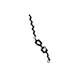 CCCCCCCCCCOc1ccc(-c2ccc(CCC=O)cn2)cc1